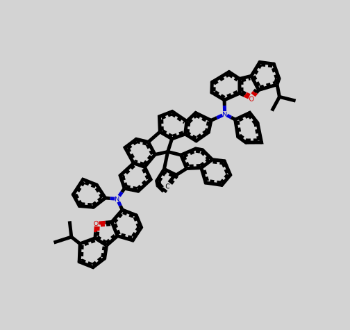 CC(C)c1cccc2c1oc1c(N(c3ccccc3)c3ccc4c5c(ccc4c3)-c3ccc4cc(N(c6ccccc6)c6cccc7c6oc6c(C(C)C)cccc67)ccc4c3C53c4ccccc4-c4c3ccc3ccccc43)cccc12